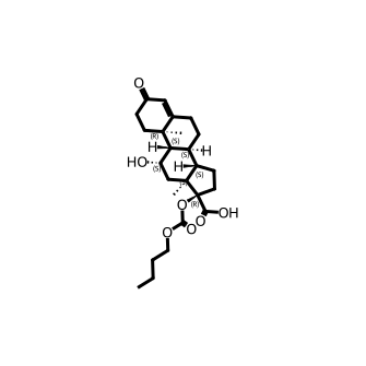 CCCCOC(=O)O[C@]1(C(=O)O)CC[C@H]2[C@@H]3CCC4=CC(=O)CC[C@]4(C)[C@H]3[C@@H](O)C[C@@]21C